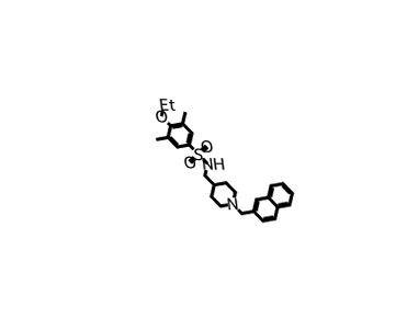 CCOc1c(C)cc(S(=O)(=O)NCC2CCN(Cc3ccc4ccccc4c3)CC2)cc1C